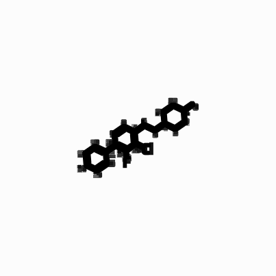 CC1CCC(CCc2ccc(-c3ccccc3)c(F)c2Cl)CC1